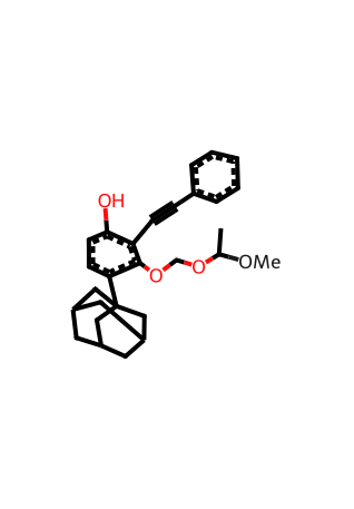 COC(C)OCOc1c(C23CC4CC(CC(C4)C2)C3)ccc(O)c1C#Cc1ccccc1